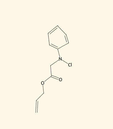 C=CCOC(=O)CN(Cl)c1ccccc1